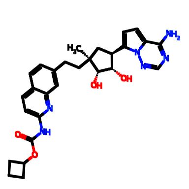 C[C@]1(CCc2ccc3ccc(NC(=O)OC4CCC4)nc3c2)C[C@@H](c2ccc3c(N)ncnn23)[C@H](O)[C@@H]1O